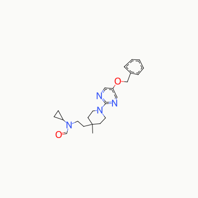 CC1(CCN(C=O)C2CC2)CCN(c2ncc(OCc3ccccc3)cn2)CC1